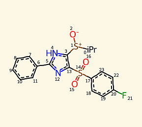 CC(C)[S+]([O-])c1[nH]c(-c2ccccc2)nc1S(=O)(=O)c1ccc(F)cc1